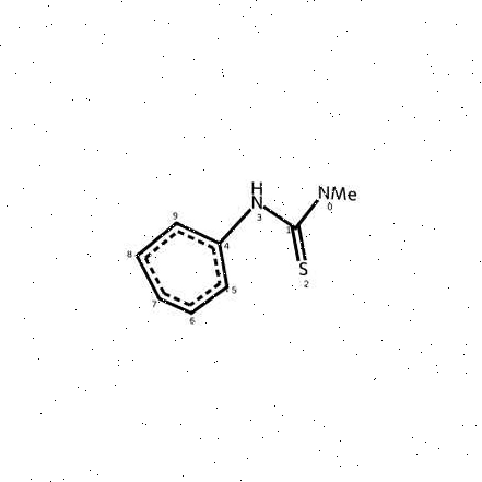 CNC(=S)Nc1[c]cccc1